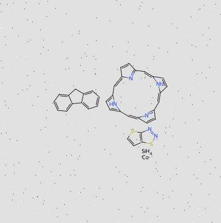 C1=Cc2cc3ccc(cc4nc(cc5ccc(cc1n2)[nH]5)C=C4)[nH]3.[Co].[SiH4].c1cc2snnc2s1.c1ccc2c(c1)Cc1ccccc1-2